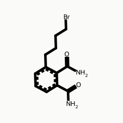 NC(=O)c1cccc(CCCCBr)c1C(N)=O